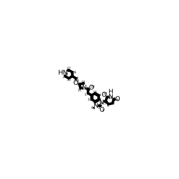 Cn1c(=O)n(C2CCC(=O)NC2=O)c2ccc(CC(=O)N3CC(OCC4CCNCC4)C3)cc21